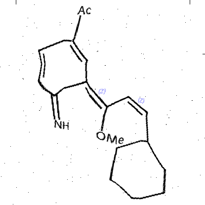 COC(/C=C\C1CCCCC1)=C1/C=C(C(C)=O)C=CC1=N